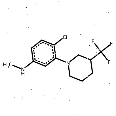 CNc1ccc(Cl)c(N2CCCC(C(F)(F)F)C2)c1